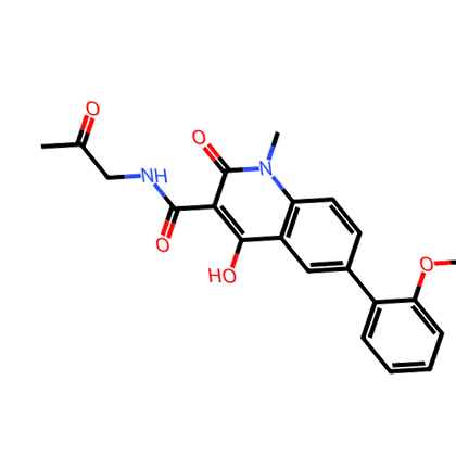 COc1ccccc1-c1ccc2c(c1)c(O)c(C(=O)NCC(C)=O)c(=O)n2C